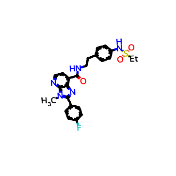 CCS(=O)(=O)Nc1ccc(CCNC(=O)c2ccnc3c2nc(-c2ccc(F)cc2)n3C)cc1